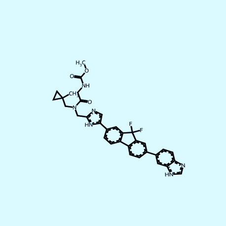 COC(=O)NCC(=O)N(Cc1ncc(-c2ccc3c(c2)C(F)(F)c2cc(-c4ccc5nc[nH]c5c4)ccc2-3)[nH]1)CC1(C)CC1